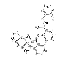 O=C(NCc1ccccc1Cl)c1ccccc1CN1C(=O)C2(COc3cc4c(cc32)CCO4)c2ccccc21